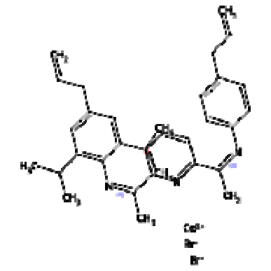 C=CCc1ccc(/N=C(/C)c2cccc(/C(C)=N\c3c(C(C)C)cc(CC=C)cc3C(C)C)n2)cc1.[Br-].[Br-].[Co+2]